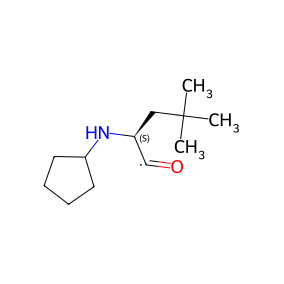 CC(C)(C)C[C@@H]([C]=O)NC1CCCC1